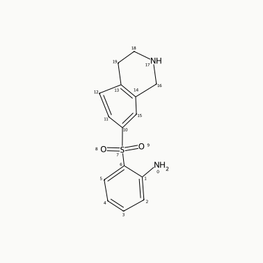 Nc1ccccc1S(=O)(=O)c1ccc2c(c1)CNCC2